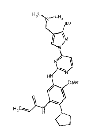 C=CC(=O)Nc1cc(Nc2nccc(-n3cc(CN(C)C)c(C(C)(C)C)n3)n2)c(OC)cc1N1CCCC1